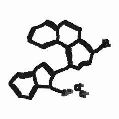 CCc1ccc(C2=Cc3ccccc3[CH]2[Zr+2])c2c1ccc1ccccc12.[Cl-].[Cl-]